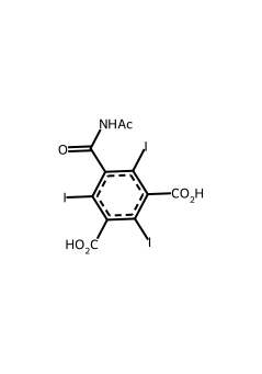 CC(=O)NC(=O)c1c(I)c(C(=O)O)c(I)c(C(=O)O)c1I